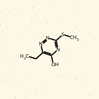 CCc1nnc(SC)nc1O